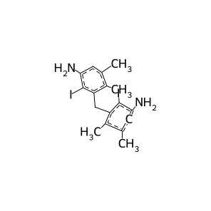 Cc1cc(N)c(I)c(Cc2c(C)c(C)cc(N)c2I)c1C